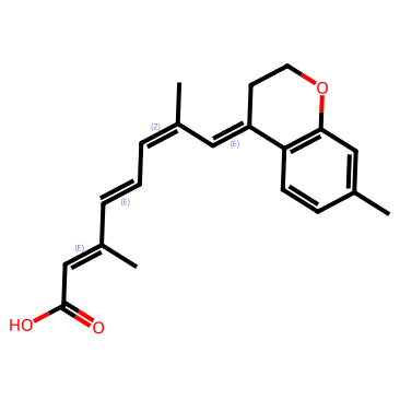 CC(=C/C=C/C(C)=C/C(=O)O)/C=C1\CCOc2cc(C)ccc21